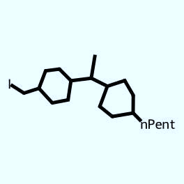 CCCCCC1CCC(C(C)C2CCC(CI)CC2)CC1